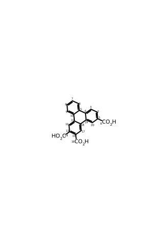 O=C(O)c1ccc2c3ccccc3c3cc(C(=O)O)c(C(=O)O)cc3c2c1